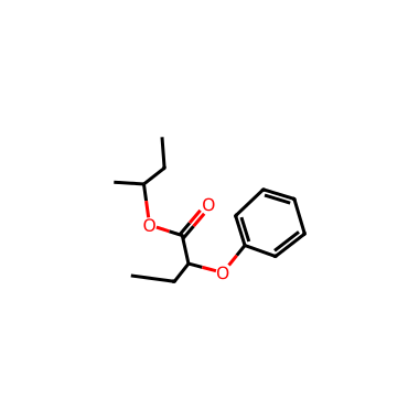 CCC(C)OC(=O)C(CC)Oc1ccccc1